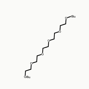 CC(C)COCCOCCOCCOCCOCCOC(C)(C)C